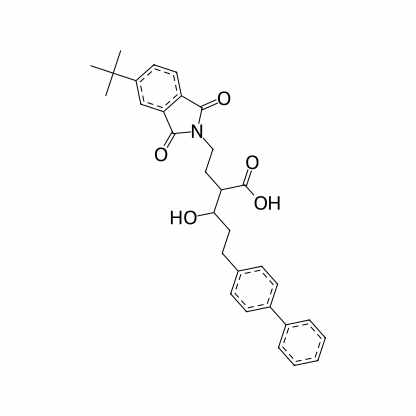 CC(C)(C)c1ccc2c(c1)C(=O)N(CCC(C(=O)O)C(O)CCc1ccc(-c3ccccc3)cc1)C2=O